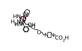 N=C(N)/C(=C\C(=N)c1ccccc1O)N1CC2CCC(C1)N2c1ccnc(CCCOCCOCCN2CCN(CC(=O)O)CC2)c1